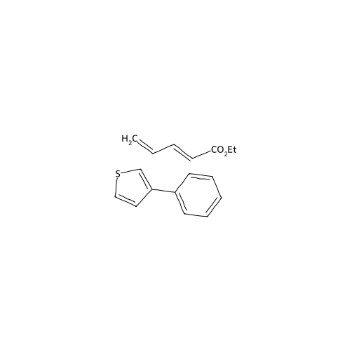 C=CC=CC(=O)OCC.c1ccc(-c2ccsc2)cc1